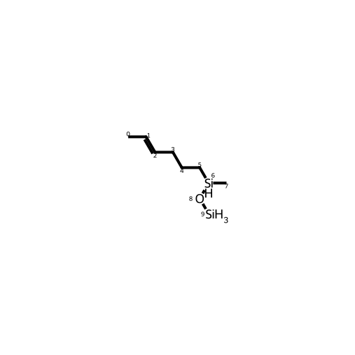 CC=CCCC[SiH](C)O[SiH3]